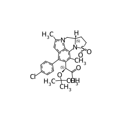 Cc1c([C@H](OC(C)(C)C)C(=O)O)c(-c2ccc(Cl)cc2)c2cc(C)n3c2c1N1[C@@H](CCS1(=O)=O)C3